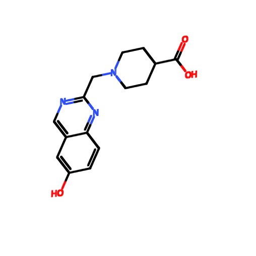 O=C(O)C1CCN(Cc2ncc3cc(O)ccc3n2)CC1